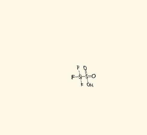 O=S(=O)(O)[Si](F)(F)F